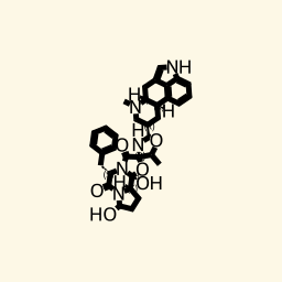 CC(C)[C@@]1(NC(=O)[C@@H]2C[C@@H]3c4cccc5[nH]cc(c45)C[C@H]3N(C)C2)O[C@@]2(O)[C@@H]3CCC(O)N3C(=O)[C@H](Cc3ccccc3)N2C1=O